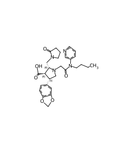 CCCCN(C(=O)CN1C[C@H](c2ccc3c(c2)OCO3)[C@@H](C(=O)O)[C@@H]1CN1CCCC1=O)c1cccnc1